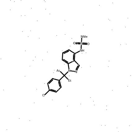 CCC(C(C)=O)(c1ccc(Cl)cc1)n1ncc2c(NS(=O)(=O)NC)cccc21